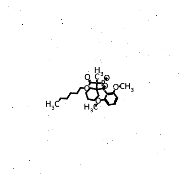 CCCCCCOC(=O)C(C)(P=O)C1(C(=O)c2c(OC)cccc2OC)CCCCC1